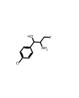 NC(CF)C(O)c1ccc(Cl)cc1